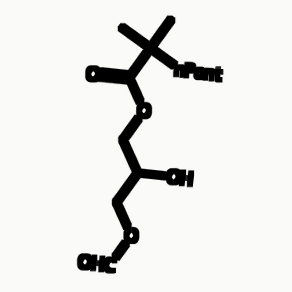 CCCCCC(C)(C)C(=O)OCC(O)COC=O